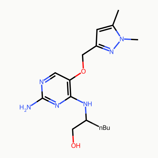 CCCCC(CO)Nc1nc(N)ncc1OCc1cc(C)n(C)n1